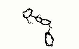 N#Cc1cnccc1-c1cc2cc(Oc3cccnc3)ccc2o1